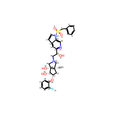 O=S(=O)(Cc1ccccc1)n1ccc2cc([C@H](O)CN3C[C@H]4C[C@H](Oc5ccccc5F)[C@H](O)[C@@]4(O)C3)ncc21